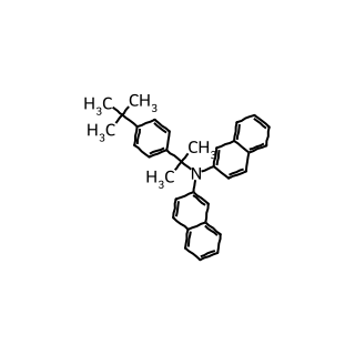 CC(C)(C)c1ccc(C(C)(C)N(c2ccc3ccccc3c2)c2ccc3ccccc3c2)cc1